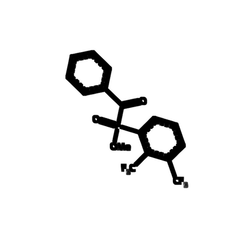 COP(=O)(C(=O)c1ccccc1)c1cccc(C(F)(F)F)c1C(F)(F)F